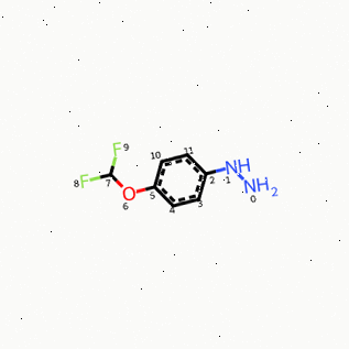 NNc1ccc(OC(F)F)cc1